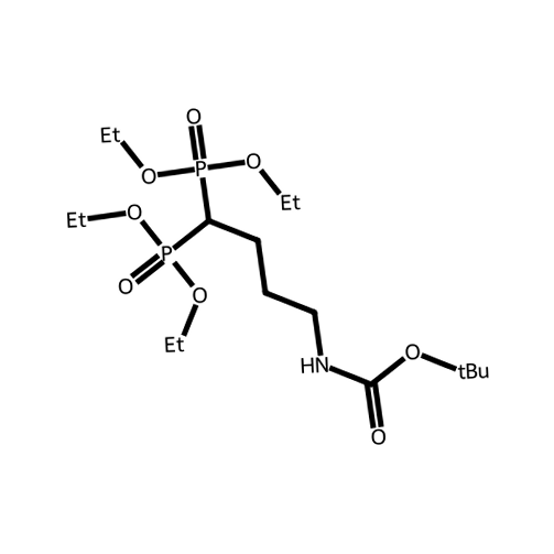 CCOP(=O)(OCC)C(CCCNC(=O)OC(C)(C)C)P(=O)(OCC)OCC